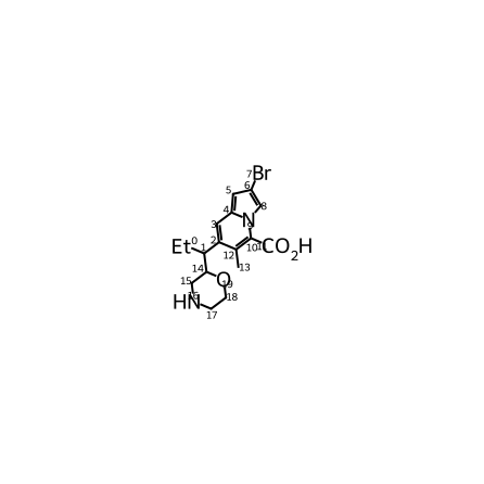 CCC(c1cc2cc(Br)cn2c(C(=O)O)c1C)C1CNCCO1